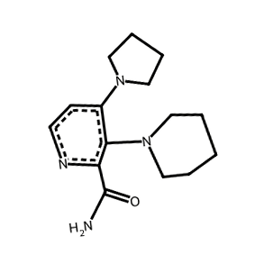 NC(=O)c1nccc(N2CCCC2)c1N1CCCCC1